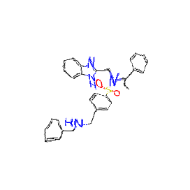 CC(c1ccccc1)N(Cc1nc2ccccc2[nH]1)S(=O)(=O)c1ccc(CNCc2ccccc2)cc1